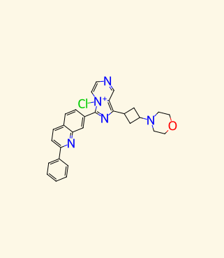 Cl[N+]12C=CN=CC1=C(C1CC(N3CCOCC3)C1)N=C2c1ccc2ccc(-c3ccccc3)nc2c1